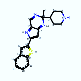 CC1(C2CCNCC2)N=CC2=NC(c3cc4ccccc4s3)=CC2=N1